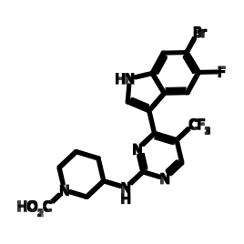 O=C(O)N1CCCC(Nc2ncc(C(F)(F)F)c(-c3c[nH]c4cc(Br)c(F)cc34)n2)C1